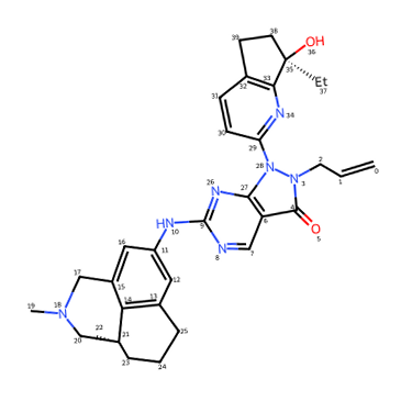 C=CCn1c(=O)c2cnc(Nc3cc4c5c(c3)CN(C)C[C@]5(C)CCC4)nc2n1-c1ccc2c(n1)[C@@](O)(CC)CC2